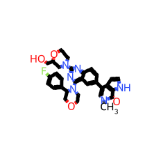 Cn1cc(-c2ccc3nc(N4CCOC(CO)C4)nc(N4CCOCC4c4ccc(F)cc4)c3c2)c2cc[nH]c2c1=O